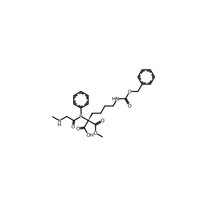 CNCC(=O)N(c1ccccc1)[C@@](CCCCNC(=O)OCc1ccccc1)(C(=O)O)C(=O)OC